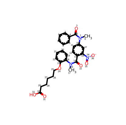 CN(C(=O)c1ccccc1)c1ccc(C(=O)N(C)c2ccccc2OCCCCCC(=O)O)c([N+](=O)[O-])c1